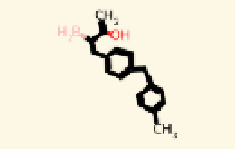 BC(Cc1ccc(Cc2ccc(C)cc2)cc1)C(=C)O